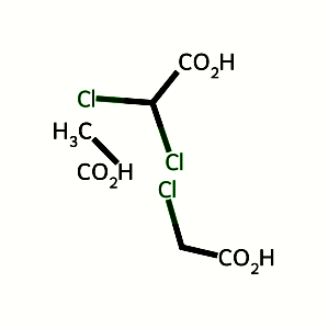 CC(=O)O.O=C(O)C(Cl)Cl.O=C(O)CCl